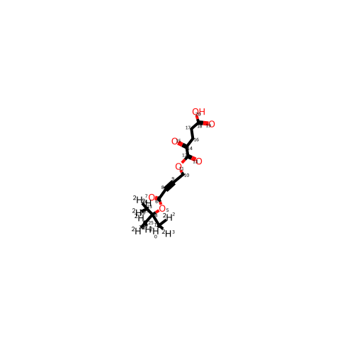 [2H]C([2H])([2H])C(OC(=O)C#CCOC(=O)C(=O)CCC(=O)O)(C([2H])([2H])[2H])C([2H])([2H])[2H]